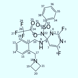 CN1C(F)=NC(F)=CC1(NCc1ccccc1CN1CCC1)N(OC(=O)C(F)(F)F)S(=O)(=O)c1ccccc1